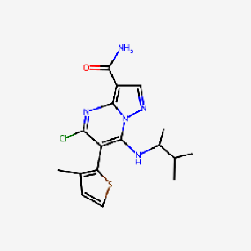 Cc1ccsc1-c1c(Cl)nc2c(C(N)=O)cnn2c1NC(C)C(C)C